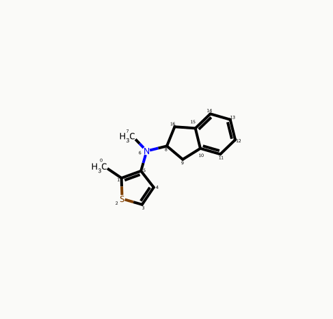 Cc1sccc1N(C)C1Cc2ccccc2C1